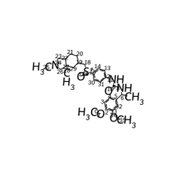 COc1ccc(C(C)NC(=O)Nc2ccc([S+]([O-])CC3CCC4CN(C)CC4(C)C3)cc2)cc1OC